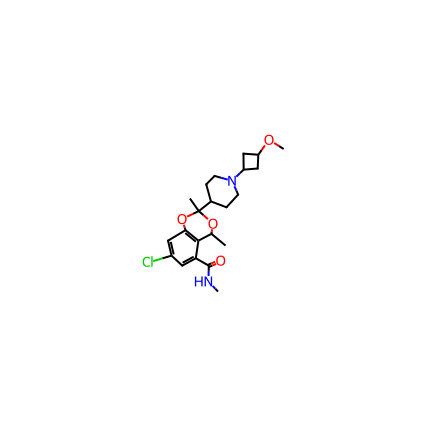 CNC(=O)c1cc(Cl)cc2c1C(C)OC(C)(C1CCN(C3CC(OC)C3)CC1)O2